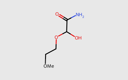 COCCOC(O)C(N)=O